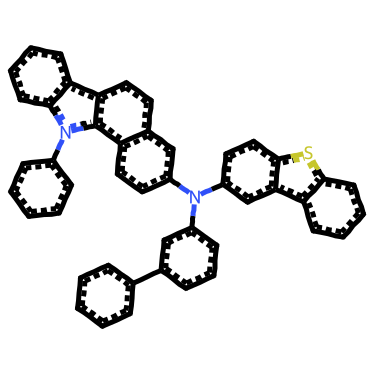 c1ccc(-c2cccc(N(c3ccc4c(ccc5c6ccccc6n(-c6ccccc6)c45)c3)c3ccc4sc5ccccc5c4c3)c2)cc1